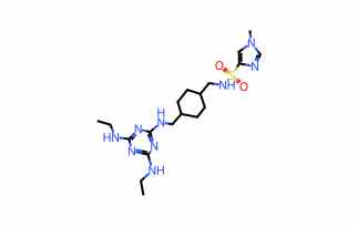 CCNc1nc(NCC)nc(NCC2CCC(CNS(=O)(=O)c3cn(C)cn3)CC2)n1